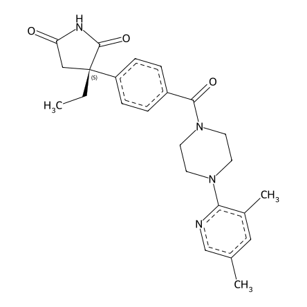 CC[C@@]1(c2ccc(C(=O)N3CCN(c4ncc(C)cc4C)CC3)cc2)CC(=O)NC1=O